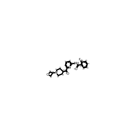 O=C(Nc1cccc(C(=O)C2CCN(C3COC3)CC2)n1)c1ccccc1F